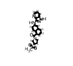 CS(=O)(=O)C1CCN(C(=O)c2cccc3cc(Nc4n[nH]c5cccnc45)ccc23)C1